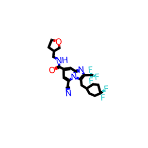 N#Cc1cc(C(=O)NCC2CCOC2)cc2nc(C(F)(F)F)c(CC3CCC(F)(F)CC3)n12